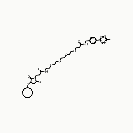 Cc1nnc(-c2ccc(CNC(=O)CCOCCOCCOCCOCCNC(=O)CCN3C(=O)CC(SC4CCCCCCCC4)C3=O)cc2)nn1